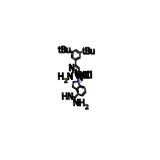 CC(C)(C)c1cc(-c2cn(/N=C3\CCc4c(C(=N)N)cccc43)c(N)n2)cc(C(C)(C)C)c1.Cl.Cl